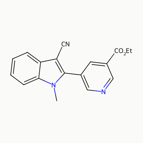 CCOC(=O)c1cncc(-c2c(C#N)c3ccccc3n2C)c1